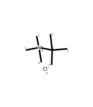 CC(C)(C)[N+](C)(C)C.[Cl-]